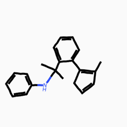 CC1=C(c2ccccc2C(C)(C)Nc2ccccc2)CC=C1